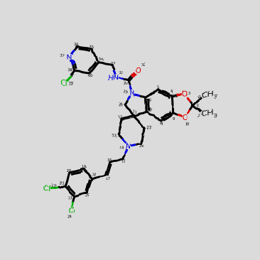 CC1(C)Oc2cc3c(cc2O1)C1(CCN(C/C=C/c2ccc(Cl)c(Cl)c2)CC1)CN3C(=O)NCc1ccnc(Cl)c1